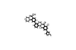 Cn1cc(-c2cc(Cl)c(C(=O)N3CSc4c(cccc4-c4ccc(C(=O)O)c(N5CCOCC5)c4)C3)c(Cl)c2)cn1